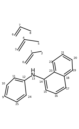 C=CC.C=CC.C=CC.c1ccc(Nc2cccc3ccccc23)cc1